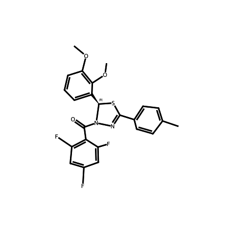 COc1cccc([C@H]2SC(c3ccc(C)cc3)=NN2C(=O)c2c(F)cc(F)cc2F)c1OC